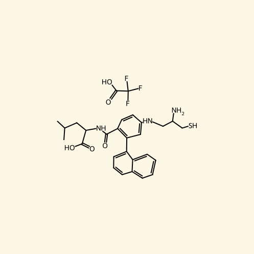 CC(C)CC(NC(=O)c1ccc(NCC(N)CS)cc1-c1cccc2ccccc12)C(=O)O.O=C(O)C(F)(F)F